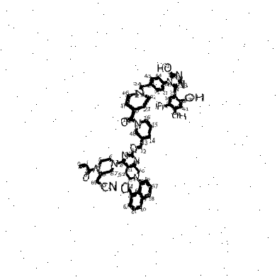 C=CC(=O)N1CCN(c2nc(OCC3CCCN(C(=O)C4CCN(Cc5ccc(-n6c(O)nnc6-c6cc(C(C)C)c(O)cc6O)cc5)CC4)C3)nc3c2CCN(c2cccc4cccc(Cl)c24)C3)CC1CC#N